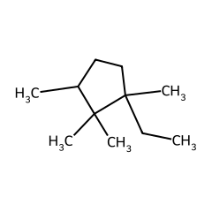 CCC1(C)CCC(C)C1(C)C